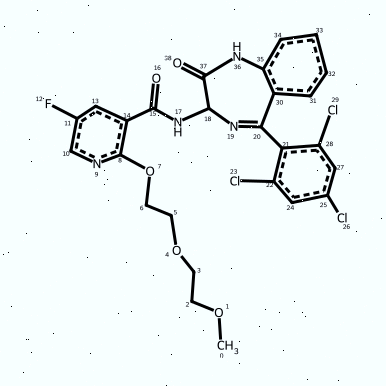 COCCOCCOc1ncc(F)cc1C(=O)NC1N=C(c2c(Cl)cc(Cl)cc2Cl)c2ccccc2NC1=O